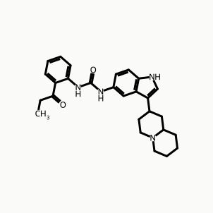 CCC(=O)c1ccccc1NC(=O)Nc1ccc2[nH]cc(C3CCN4CCCCC4C3)c2c1